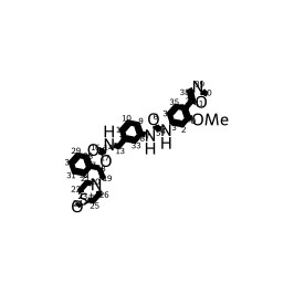 COc1cc(NC(=O)Nc2cccc(CNC(=O)OC(CN3CC[S+]([O-])CC3)c3ccccc3)c2)ccc1-c1cnco1